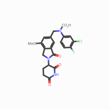 COc1cc(CN(C(=O)O)c2ccc(F)c(Cl)c2)cc2c1CN(C1CCC(=O)NC1=O)C2=O